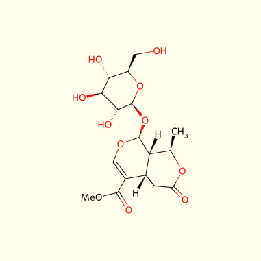 COC(=O)C1=CO[C@@H](O[C@@H]2O[C@H](CO)[C@@H](O)[C@H](O)[C@H]2O)[C@H]2[C@@H]1CC(=O)O[C@@H]2C